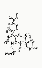 C=CC(=O)N1CCN(c2nc(=O)n3c4c(c(-c5ccc(F)cc5F)c(C(F)(F)F)cc24)SCC(OC)C3)[C@@H](C)C1